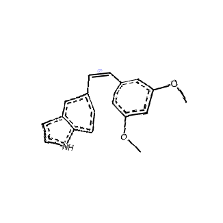 COc1cc(/C=C\c2ccc3[nH]ccc3c2)cc(OC)c1